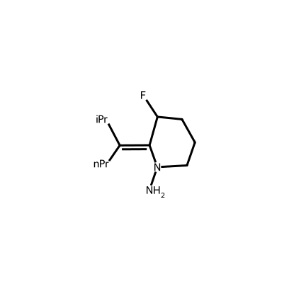 CCC/C(=C1/C(F)CCCN1N)C(C)C